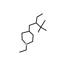 CCC(CC1CCN(CC)CC1)C(C)(C)C